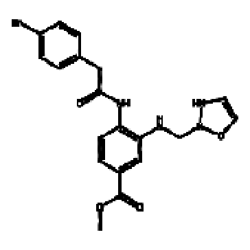 COC(=O)c1ccc(NC(=O)Cc2ccc(Br)cc2)c(NCN2NC=CO2)c1